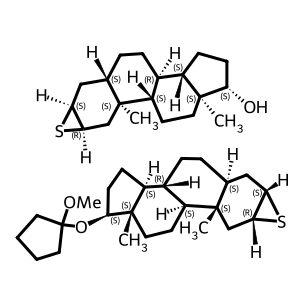 COC1(O[C@H]2CC[C@H]3[C@@H]4CC[C@H]5C[C@@H]6S[C@@H]6C[C@]5(C)[C@H]4CC[C@]23C)CCCC1.C[C@]12C[C@H]3S[C@H]3C[C@@H]1CC[C@@H]1[C@@H]2CC[C@]2(C)[C@@H](O)CC[C@@H]12